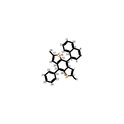 Cc1cc2c(-c3cccc4ccccc34)c3sc(C)cc3c(-c3ccccc3)c2s1